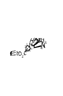 CCOC(=O)N1CCC(Nc2ccncc2N)CC1